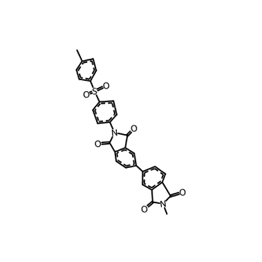 Cc1ccc(S(=O)(=O)c2ccc(N3C(=O)c4ccc(-c5ccc6c(c5)C(=O)N(C)C6=O)cc4C3=O)cc2)cc1